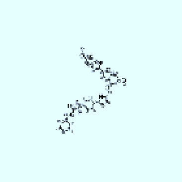 COc1cc(OCc2csc(-c3ccc(C(F)(F)C(=O)OCc4ccccc4)cc3)n2)c2cc(-c3cn4nc(OC)sc4n3)oc2c1